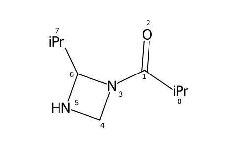 CC(C)C(=O)N1CNC1C(C)C